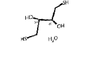 O.O[C@H](CS)[C@H](O)CS